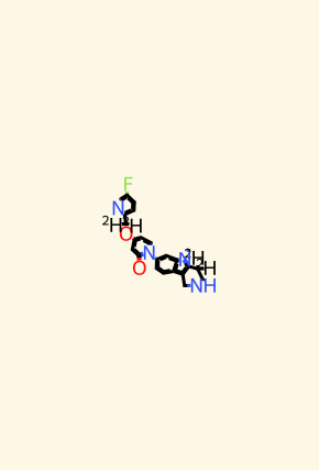 [2H]C1([2H])CNCc2c1n(C)c1cc(-n3ccc(OC([2H])([2H])c4ccc(F)cn4)cc3=O)ccc21